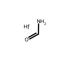 NC=O.[Hf]